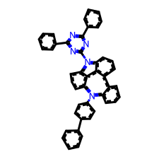 c1ccc(-c2ccc(-n3c4ccccc4c4cccc5c4c4c3cccc4n5-c3nc(-c4ccccc4)nc(-c4ccccc4)n3)cc2)cc1